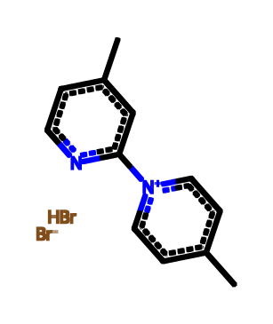 Br.Cc1cc[n+](-c2cc(C)ccn2)cc1.[Br-]